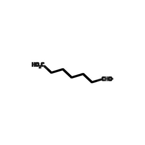 O=[C]CCCCCC(=O)O